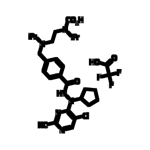 CC(C)N(CCN(C(=O)O)C(C)C)Cc1ccc(C(=O)NN(c2nc(C#N)ncc2Cl)C2CCCC2)cc1.O=C(O)C(F)(F)F